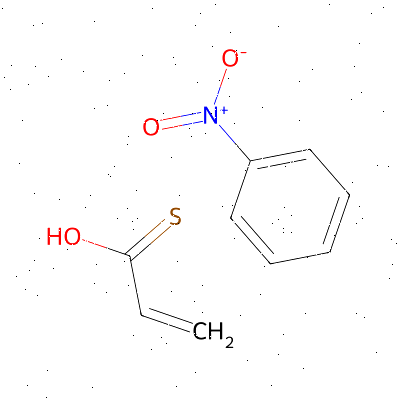 C=CC(O)=S.O=[N+]([O-])c1ccccc1